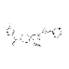 COCC1(CN[C@H]2C[C@H]2c2ccccc2)CCN(C(=O)c2ccn(C)n2)CC1